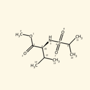 COC(=O)[C@@H](NS(=O)(=O)C(C)C)C(C)C